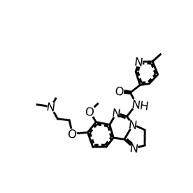 COc1c(OCCN(C)C)ccc2c1N=C(NC(=O)c1ccc(C)nc1)N1CCN=C21